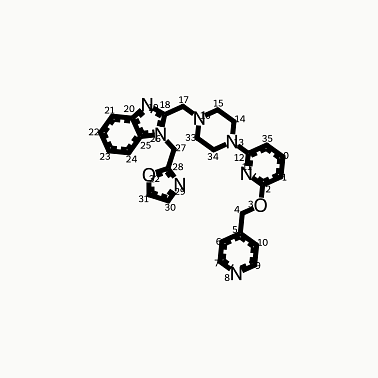 c1cc(OCc2ccncc2)nc(N2CCN(Cc3nc4ccccc4n3Cc3ncco3)CC2)c1